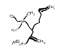 C=CCC(C(=C)C(=O)O)[Si](C)(C)Cl